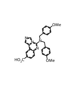 COc1ccc(CN(Cc2ccc(OC)cc2)c2nc3ccc(C(=O)O)cc3c3cncn23)cc1